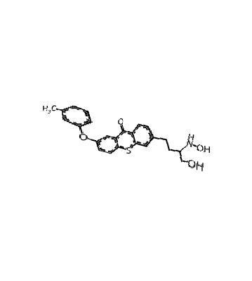 Cc1cccc(Oc2ccc3sc4cc(CCC(CO)NO)ccc4c(=O)c3c2)c1